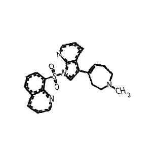 CN1CCC=C(c2cn(S(=O)(=O)c3cccc4cccnc34)c3ncccc23)CC1